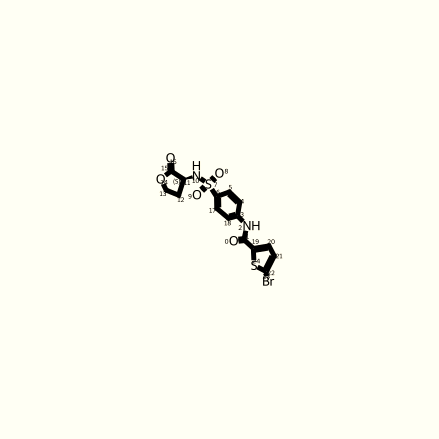 O=C(Nc1ccc(S(=O)(=O)N[C@H]2CCOC2=O)cc1)c1ccc(Br)s1